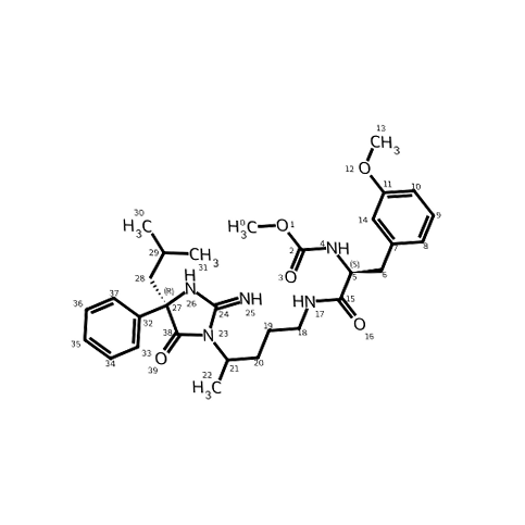 COC(=O)N[C@@H](Cc1cccc(OC)c1)C(=O)NCCCC(C)N1C(=N)N[C@](CC(C)C)(c2ccccc2)C1=O